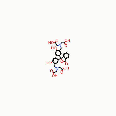 O=C(O)CN(CC(=O)O)Cc1cc(C2(c3ccc(O)c(CN(CC(=O)O)CC(=O)O)c3)OC(=O)c3ccccc32)ccc1O